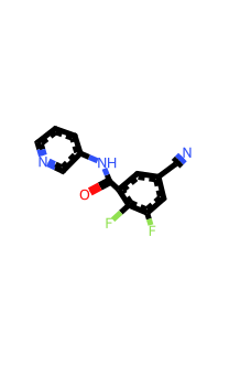 N#Cc1cc(F)c(F)c(C(=O)Nc2cccnc2)c1